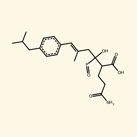 C/C(=C\c1ccc(CC(C)C)cc1)CC(O)(P=O)C(CCC(N)=O)C(=O)O